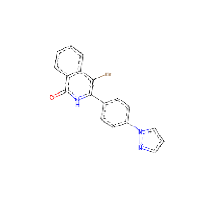 O=c1[nH]c(-c2ccc(-n3cccn3)cc2)c(Br)c2ccccc12